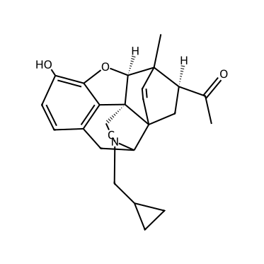 CC(=O)[C@H]1CC23C=CC1(C)[C@@H]1Oc4c(O)ccc5c4[C@@]12CCN(CC1CC1)C3C5